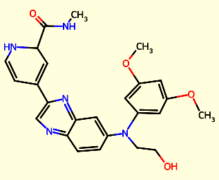 CNC(=O)C1C=C(c2cnc3ccc(N(CCO)c4cc(OC)cc(OC)c4)cc3n2)C=CN1